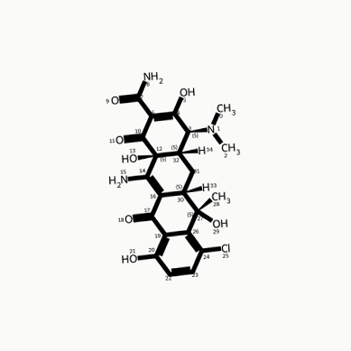 CN(C)[C@@H]1C(O)=C(C(N)=O)C(=O)[C@@]2(O)C(N)=C3C(=O)c4c(O)ccc(Cl)c4[C@@](C)(O)[C@H]3C[C@@H]12